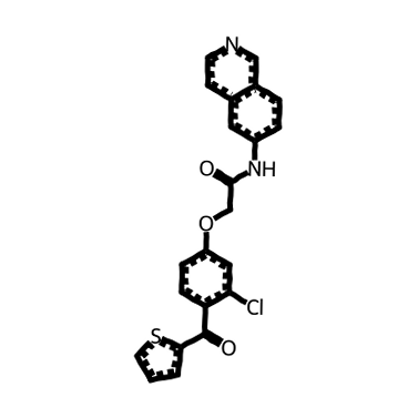 O=C(COc1ccc(C(=O)c2cccs2)c(Cl)c1)Nc1ccc2cnccc2c1